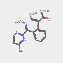 COC=C(C(=O)OC)c1ccccc1C(=NOC(C)=O)c1nccc(C(C)=O)n1